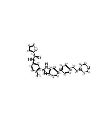 O=C(Nc1ccc(Cl)c(-c2nc3ncc(-c4ccc(CCN5CCOCC5)cc4)cc3[nH]2)c1)c1ccco1